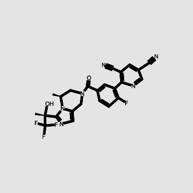 C[C@H]1CN(C(=O)c2ccc(F)c(-c3ncc(C#N)cc3C#N)c2)Cc2cnc([C@@](C)(O)C(F)(F)F)n21